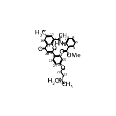 COC(=O)c1ccccc1N[C@H](C)c1cc(C)cc2c(=O)cc(-c3ccc(OCCN(C)C)cc3)oc12